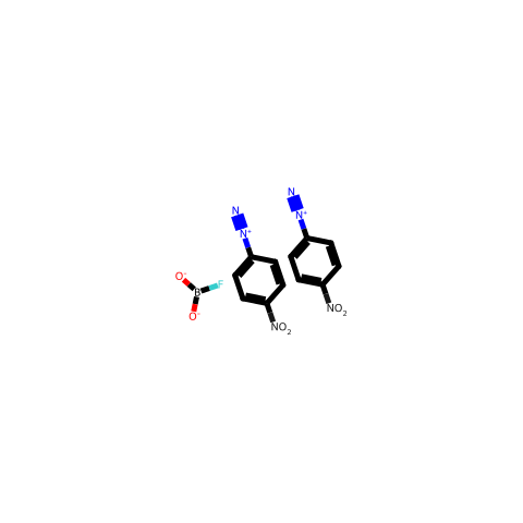 N#[N+]c1ccc([N+](=O)[O-])cc1.N#[N+]c1ccc([N+](=O)[O-])cc1.[O-]B([O-])F